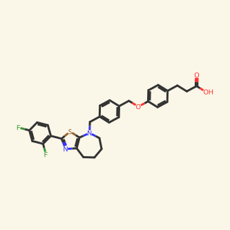 O=C(O)CCc1ccc(OCc2ccc(CN3CCCCc4nc(-c5ccc(F)cc5F)sc43)cc2)cc1